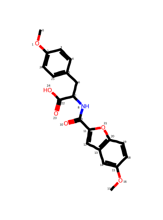 COc1ccc(CC(NC(=O)c2cc3cc(OC)ccc3o2)C(=O)O)cc1